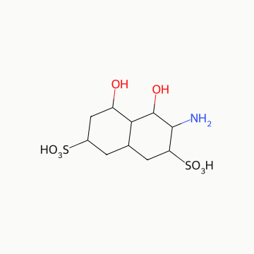 NC1C(O)C2C(O)CC(S(=O)(=O)O)CC2CC1S(=O)(=O)O